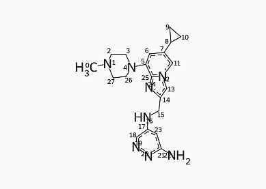 CN1CCN(c2cc(C3CC3)cn3cc(CNc4cnnc(N)c4)nc23)CC1